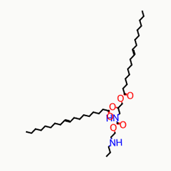 CCCCCCCCC=CCCCCCCCC(=O)OCC(CNC(=O)OCCNCCC)OC(=O)CCCCCCCC=CCCCCCCCC